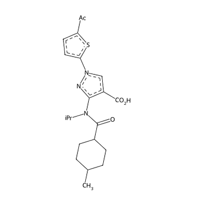 CC(=O)c1ccc(-n2cc(C(=O)O)c(N(C(=O)C3CCC(C)CC3)C(C)C)n2)s1